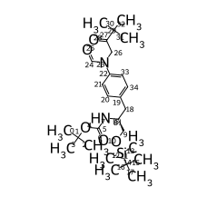 CC(C)(C)OC(=O)N[C@H](CO[Si](C)(C)C(C)(C)C)Cc1ccc(N(C=O)CC(=O)C(C)(C)C)cc1